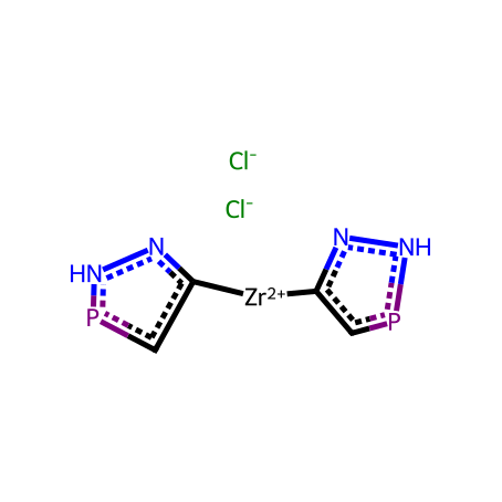 [Cl-].[Cl-].c1p[nH]n[c]1[Zr+2][c]1cp[nH]n1